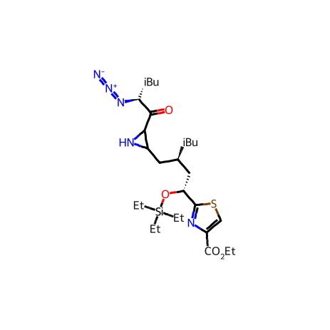 CCOC(=O)c1csc([C@@H](C[C@@H](CC2NC2C(=O)[C@@H](N=[N+]=[N-])[C@@H](C)CC)C(C)CC)O[Si](CC)(CC)CC)n1